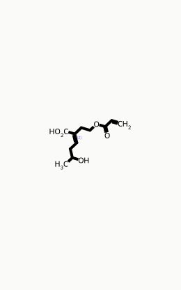 C=CC(=O)OCC/C(=C/CC(C)O)C(=O)O